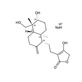 C=C1CC[C@@H]2[C@](C)(CO)[C@H](O)CC[C@@]2(C)[C@@H]1CCC1=C(O)COC1=O.[H+].[NaH]